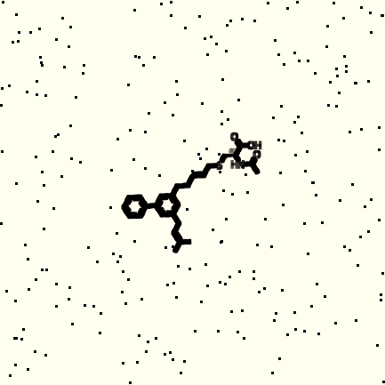 CC(=O)N[C@@H](CSCC=CCCc1cc(CC=C(C)C)cc(-c2ccccc2)c1)C(=O)O